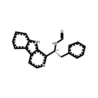 O=CN[C@H](Cc1ccccc1)c1nccc2c1[nH]c1ccccc12